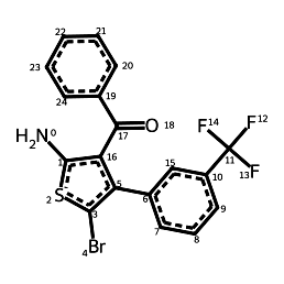 Nc1sc(Br)c(-c2cccc(C(F)(F)F)c2)c1C(=O)c1ccccc1